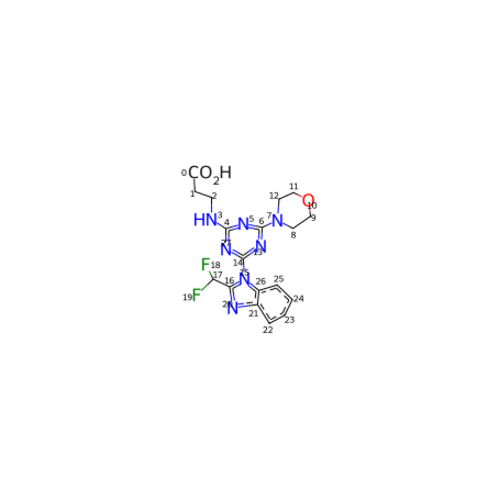 O=C(O)CCNc1nc(N2CCOCC2)nc(-n2c(C(F)F)nc3ccccc32)n1